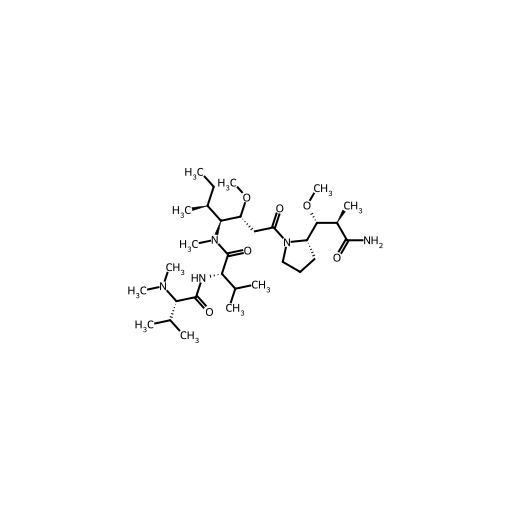 CC[C@H](C)[C@@H]([C@@H](CC(=O)N1CCC[C@H]1[C@H](OC)[C@@H](C)C(N)=O)OC)N(C)C(=O)[C@@H](NC(=O)[C@H](C(C)C)N(C)C)C(C)C